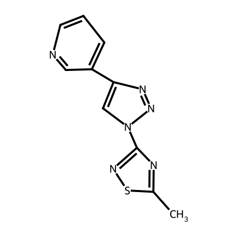 Cc1nc(-n2cc(-c3cccnc3)nn2)ns1